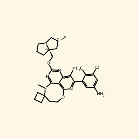 CN1c2nc(OC[C@@]34CCCN3C[C@H](F)C4)nc3c(F)c(-c4cc(N)cc(Cl)c4C(F)(F)F)nc(c23)OCCC12CCC2